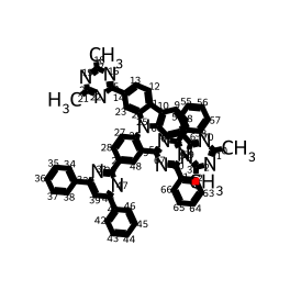 Cc1nc(C)nc(-c2ccc3c4ccc(-c5nc(C)nc(C)n5)cc4n(-c4ccc(-c5nc(-c6ccccc6)cc(-c6ccccc6)n5)cc4-c4nc(-c5ccccc5)nc(-c5ccccc5)n4)c3c2)n1